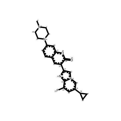 CN1CCN(c2ccc3cc(-c4cn5cc(C6CC6)cc(F)c5n4)c(=O)oc3c2)CC1